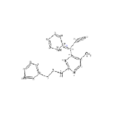 Cc1cnc(NCCc2cccnc2)nc1/C(C#N)=C1/C=CC=CN1